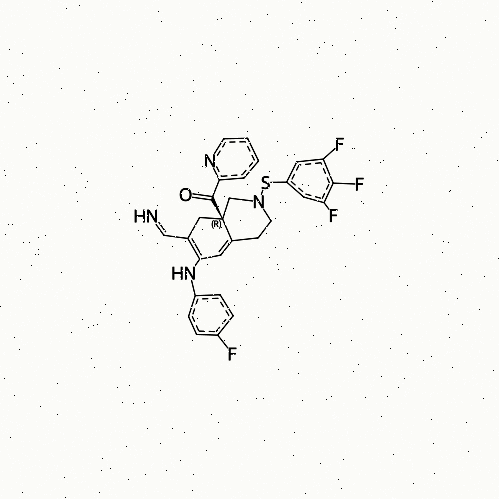 N=CC1=C(Nc2ccc(F)cc2)C=C2CCN(Sc3cc(F)c(F)c(F)c3)C[C@@]2(C(=O)c2ccccn2)C1